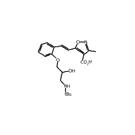 Cc1noc(C=Cc2ccccc2OCC(O)CNC(C)(C)C)c1C(=O)O